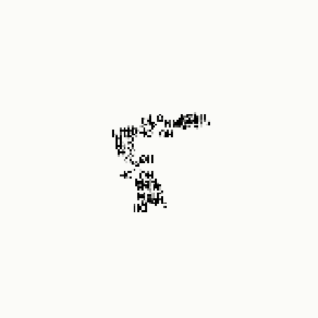 Cl.Cl.O.O.O.O.O.O.O=P(O)(O)O.O=P(O)(O)O.[MgH2].[MgH2].[MgH2].[MgH2].[MgH2].[MgH2].[MgH2].[NaH]